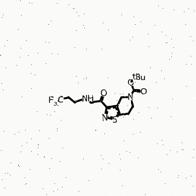 CC(C)(C)OC(=O)N1CCc2snc(C(=O)CNCCC(F)(F)F)c2C1